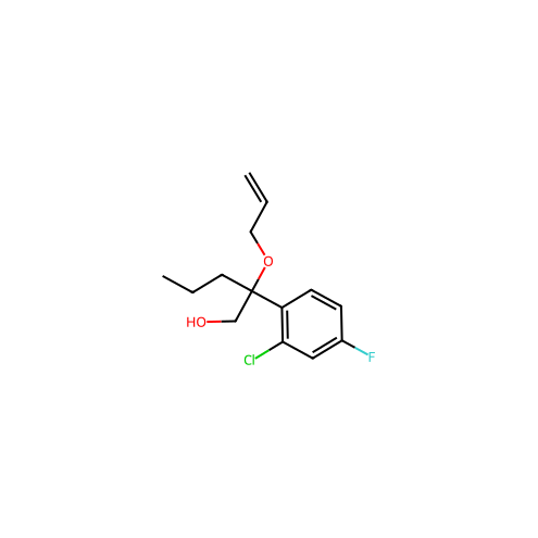 C=CCOC(CO)(CCC)c1ccc(F)cc1Cl